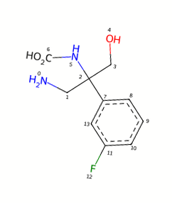 NCC(CO)(NC(=O)O)c1cccc(F)c1